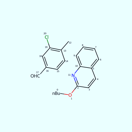 CCCCOc1ccc2ccccc2n1.Cc1ccc(C=O)cc1Cl